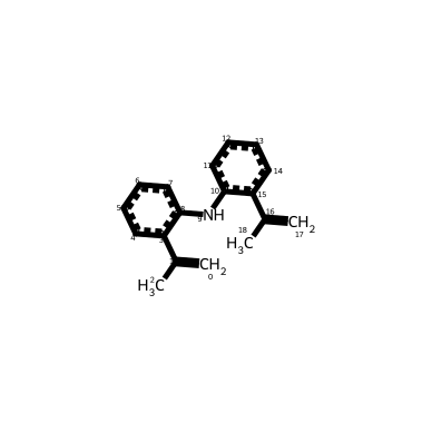 C=C(C)c1ccccc1Nc1ccccc1C(=C)C